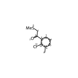 CSCC(=O)c1cccc(C)c1Cl